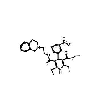 CCOC(=O)C1=C(CC)NC(CC)=C(C(=O)OCCN2CCc3ccccc3C2)C1c1cccc([N+](=O)[O-])c1